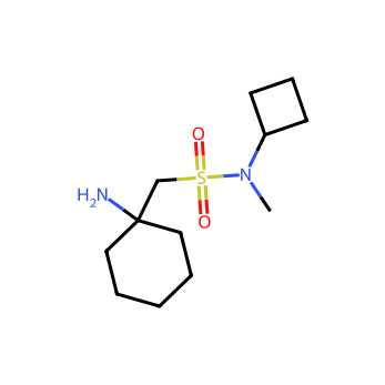 CN(C1CCC1)S(=O)(=O)CC1(N)CCCCC1